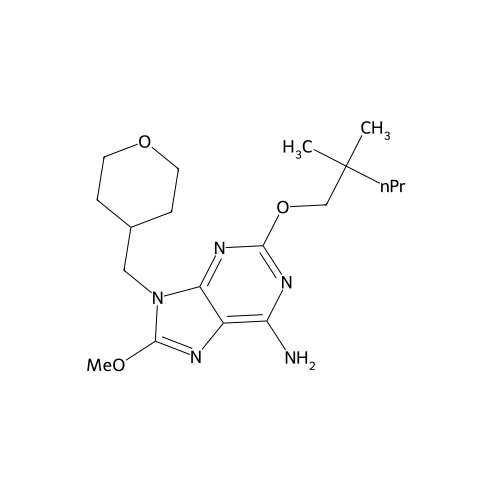 CCCC(C)(C)COc1nc(N)c2nc(OC)n(CC3CCOCC3)c2n1